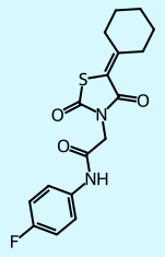 O=C(CN1C(=O)SC(=C2CCCCC2)C1=O)Nc1ccc(F)cc1